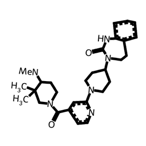 CNC1CCN(C(=O)c2ccnc(N3CCC(N4CCc5ccccc5NC4=O)CC3)c2)CC1(C)C